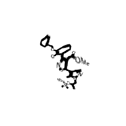 COC(=O)c1c(-c2cccc(OCc3ccccc3)c2Cl)noc1-c1cnn(CC(C)O[Si](C)(C)C(C)(C)C)c1C